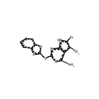 CCc1[nH]c2nc(Sc3nc4ccccc4s3)nc(N)c2c1C